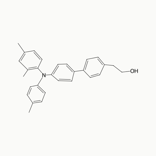 Cc1ccc(N(c2ccc(-c3ccc(CCO)cc3)cc2)c2ccc(C)cc2C)cc1